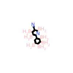 Bc1cc(-c2nc(B)c(C#N)c(B)c2B)c(B)c(B)c1B